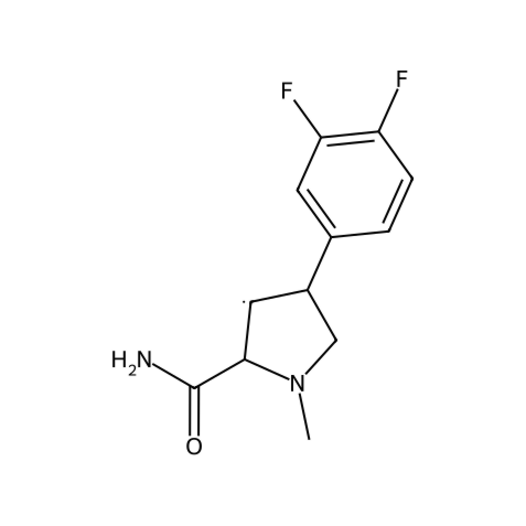 CN1CC(c2ccc(F)c(F)c2)[CH]C1C(N)=O